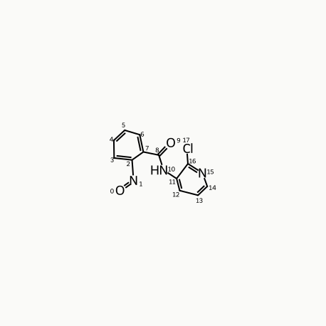 O=Nc1ccccc1C(=O)Nc1cccnc1Cl